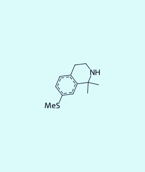 CSc1ccc2c(c1)C(C)(C)NCC2